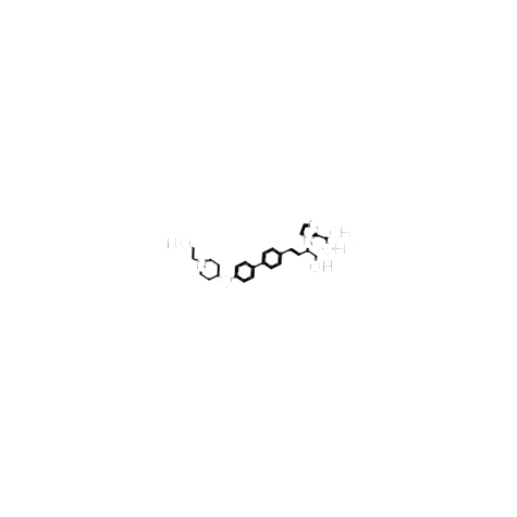 CC(O)c1nccn1C(/C=C/c1ccc(-c2ccc(OC3CCN(CCO)CC3)cc2)cc1)CO